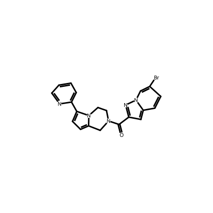 O=C(c1cc2ccc(Br)cn2n1)N1CCn2c(ccc2-c2ccccn2)C1